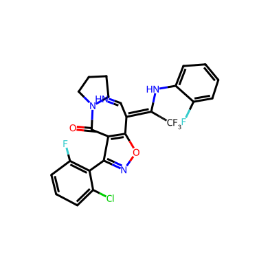 N=C/C(=C(\Nc1ccccc1F)C(F)(F)F)c1onc(-c2c(F)cccc2Cl)c1C(=O)N1CCCC1